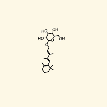 CC1=C(/C=C(C)/C(C)=C/COC2O[C@H](CO)[C@@H](O)[C@H](O)[C@H]2O)C(C)(C)CCC1